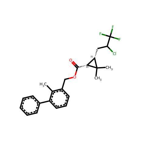 Cc1c(COC(=O)[C@@H]2[C@H](CC(Cl)C(F)(F)F)C2(C)C)cccc1-c1ccccc1